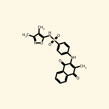 CC1=C(Nc2ccc(S(=O)(=O)Nc3onc(C)c3C)cc2)C(=O)c2ccccc2C1=O